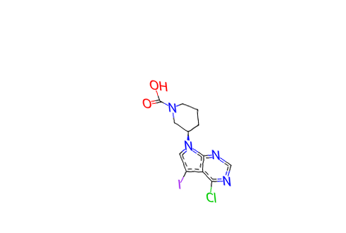 O=C(O)N1CCC[C@@H](n2cc(I)c3c(Cl)ncnc32)C1